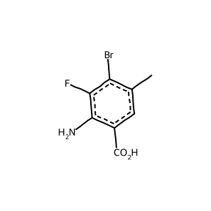 Cc1cc(C(=O)O)c(N)c(F)c1Br